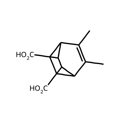 CC1=C(C)C2CCC1C(C(=O)O)C2C(=O)O